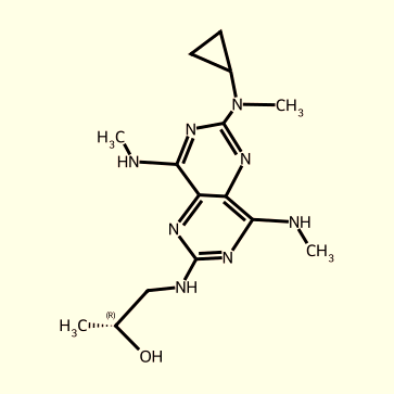 CNc1nc(N(C)C2CC2)nc2c(NC)nc(NC[C@@H](C)O)nc12